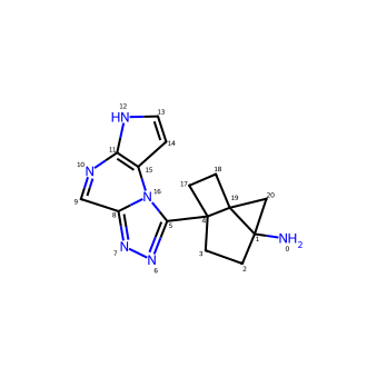 NC12CCC3(c4nnc5cnc6[nH]ccc6n45)CCC13C2